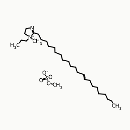 CCCCCCCCC=CCCCCCCCCCCCCC1=NCC[N+]1(C)CCC.COS(=O)(=O)[O-]